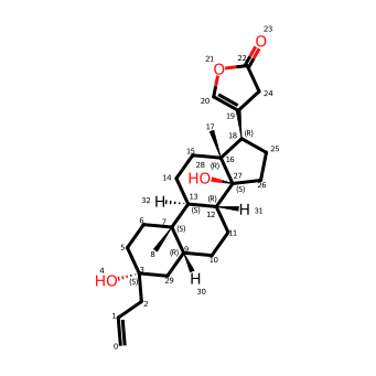 C=CC[C@@]1(O)CC[C@@]2(C)[C@H](CC[C@@H]3[C@@H]2CC[C@]2(C)[C@@H](C4=COC(=O)C4)CC[C@]32O)C1